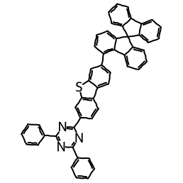 c1ccc(-c2nc(-c3ccccc3)nc(-c3ccc4c(c3)sc3cc(-c5cccc6c5-c5ccccc5C65c6ccccc6-c6ccccc65)ccc34)n2)cc1